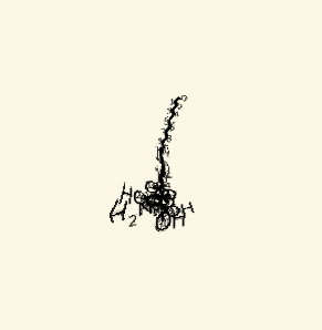 CCCCCCCCCCCCCCCC(=O)O[C@@]12C[C@H](O)[C@@H](N)[C@H](O1)[C@@H]([C@H](O)CO)OC2=O